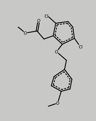 COC(=O)Cc1c(Cl)ccc(Cl)c1OCc1ccc(OC)cc1